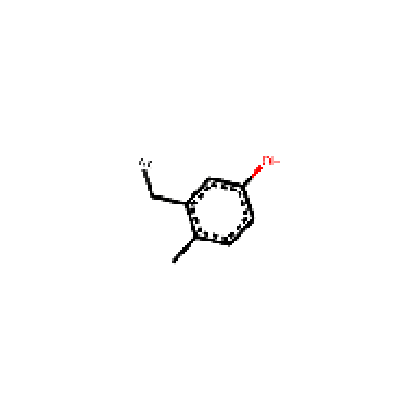 CC(=O)Cc1cc(O)ccc1C